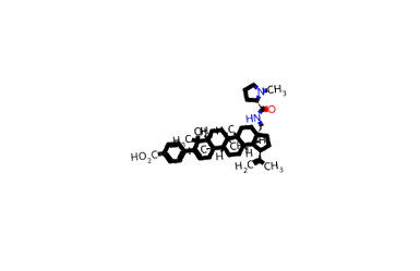 C=C(C)[C@@H]1CC[C@]2(CNC(=O)[C@@H]3CCCN3C)CC[C@]3(C)[C@H](CC[C@@H]4[C@@]5(C)CC=C(c6ccc(C(=O)O)cc6)C(C)(C)[C@@H]5CC[C@]43C)[C@@H]12